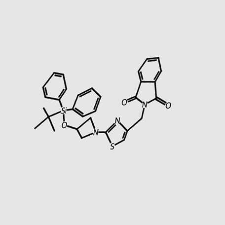 CC(C)(C)[Si](OC1CN(c2nc(CN3C(=O)c4ccccc4C3=O)cs2)C1)(c1ccccc1)c1ccccc1